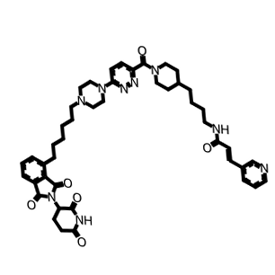 O=C(/C=C/c1cccnc1)NCCCCC1CCN(C(=O)c2ccc(N3CCN(CCCCCCc4cccc5c4C(=O)N(C4CCC(=O)NC4=O)C5=O)CC3)nn2)CC1